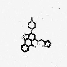 CN1CCN(c2cc(NCc3ccc[nH]3)c3c4c(onc24)-c2ccccc2C3=O)CC1